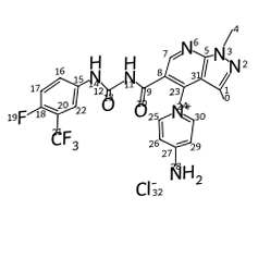 Cc1nn(C)c2ncc(C(=O)NC(=O)Nc3ccc(F)c(C(F)(F)F)c3)c(-[n+]3ccc(N)cc3)c12.[Cl-]